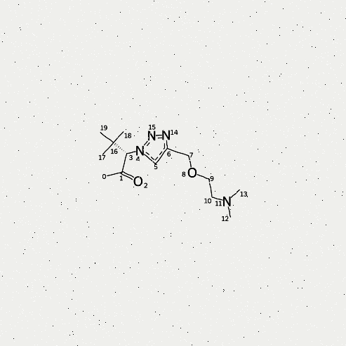 CC(=O)[C@@H](n1cc(COCCN(C)C)nn1)C(C)(C)C